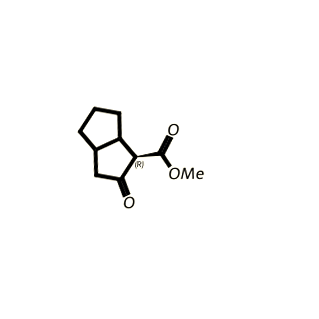 COC(=O)[C@H]1C(=O)CC2CCCC21